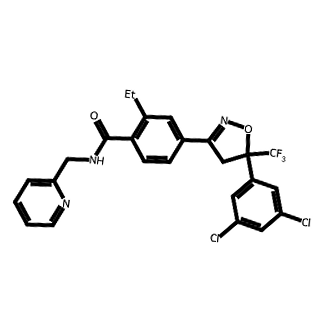 CCc1cc(C2=NOC(c3cc(Cl)cc(Cl)c3)(C(F)(F)F)C2)ccc1C(=O)NCc1ccccn1